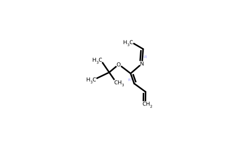 C=C/C=C(\N=C/C)OC(C)(C)C